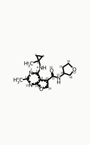 Cc1nc(NC2(C)CC2)c2c(C(=O)NC3CCOC3)coc2n1